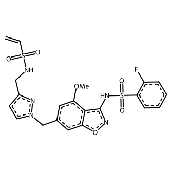 C=CS(=O)(=O)NCc1ccn(Cc2cc(OC)c3c(NS(=O)(=O)c4ccccc4F)noc3c2)n1